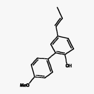 C/C=C/c1ccc(O)c(-c2ccc(OC)cc2)c1